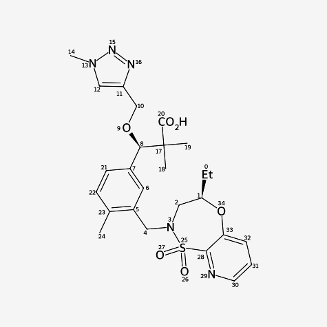 CC[C@@H]1CN(Cc2cc([C@@H](OCc3cn(C)nn3)C(C)(C)C(=O)O)ccc2C)S(=O)(=O)c2ncccc2O1